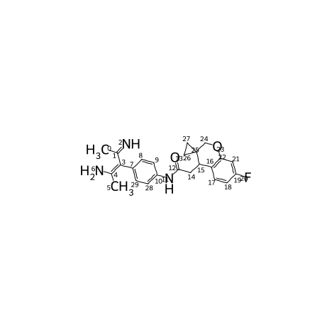 CC(=N)/C(=C(/C)N)c1ccc(NC(=O)CC2c3ccc(F)cc3OCC23CC3)cc1